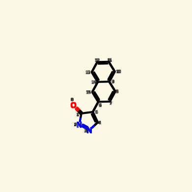 O=C1N=NC=C1c1ccc2ccccc2c1